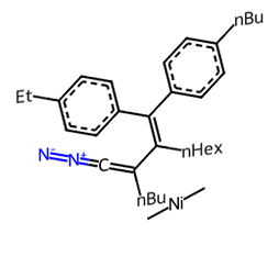 CCCCCCC(C(=C=[N+]=[N-])CCCC)=C(c1ccc(CC)cc1)c1ccc(CCCC)cc1.[CH3][Ni][CH3]